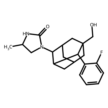 CC1CN(C2C3CC4CC2C(c2ccccc2F)C(CO)(C4)C3)C(=O)N1